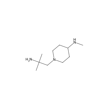 CNC1CCN(CC(C)(C)N)CC1